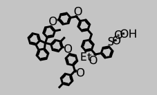 CCc1ccc(Cc2ccc(C(=O)c3ccc(Oc4ccc(C5(c6ccc(Oc7ccc(C(=O)c8ccc(C)cc8)cc7)c(C)c6)c6ccccc6-c6ccccc65)cc4C)cc3)cc2)cc1C(=O)c1cccc(SOOO)c1